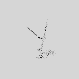 CCCCCCCCCCCCCCCCCC(=O)OCC(CSCC(=O)NCCO[C@@H]1O[C@H](CO[C@@H]2O[C@H](CO)[C@@H](O[C@@H]3O[C@H](CO)[C@@H](O)[C@H](O)[C@H]3O)[C@H](O)[C@H]2O)[C@@H](O[C@@H]2O[C@H](CO)[C@@H](O)[C@H](O)[C@H]2O)[C@H](O)[C@H]1NC(C)=O)OC(=O)CCCCCCCCCCCCCCCCC